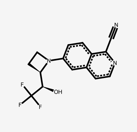 N#Cc1nccc2cc(N3CC[C@@H]3[C@@H](O)C(F)(F)F)ccc12